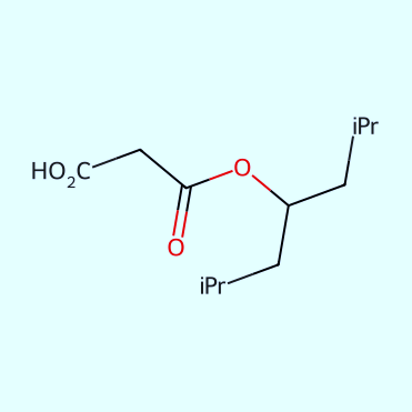 CC(C)CC(CC(C)C)OC(=O)CC(=O)O